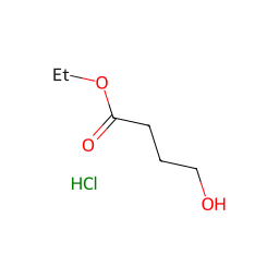 CCOC(=O)CCCO.Cl